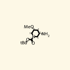 CO[C@@H]1C[C@H](N)CN(C(=O)OC(C)(C)C)C1